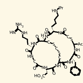 CC(=O)C1NC(=O)[C@H](Cc2ccccc2)NC(=O)[C@@H]2CSCSC[C@H](NC(=O)[C@H](CCCCNC(C)C)NC(=O)CS1)C(=O)N[C@@H](CCCNC(=N)N)C(=O)NCC(=O)N[C@@H](CC(=O)O)C(=O)N2